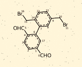 O=Cc1ccc(C=O)c(-c2cc(CBr)ccc2CBr)c1